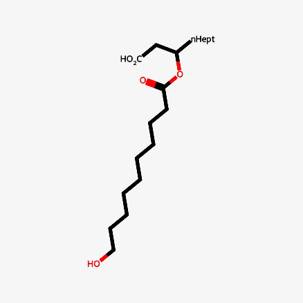 CCCCCCCC(CC(=O)O)OC(=O)CCCCCCCCCO